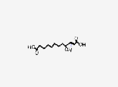 O=C(O)/C=C/C(O)CCCCCCCC(=O)O